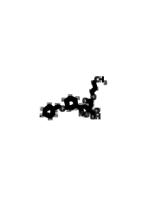 CCCCOC(=O)CC1(C(=O)O)CC(c2cccc(OCc3ccccc3)c2)=NO1